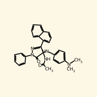 CC(=O)NC1(Nc2ccc(N(C)C)cc2)C(=O)N(c2ccccc2)N=C1c1cccc2ccccc12